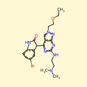 CCOCCn1cc2c(C3C(=O)Nc4ccc(Br)cc43)nc(NCCN(C)C)nc2n1